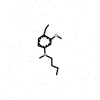 CCCCN(C)c1ccc(CC)c(OC)c1